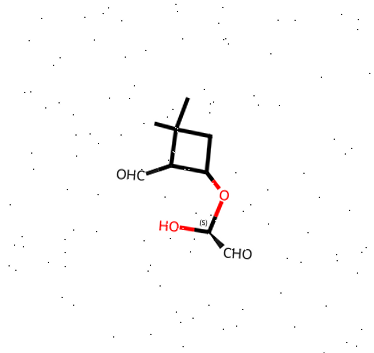 CC1(C)CC(O[C@H](O)C=O)C1C=O